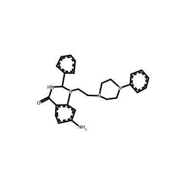 Nc1ccc2c(c1)N(CCN1CCN(c3ccccc3)CC1)C(c1ccccc1)NC2=O